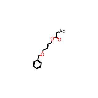 CC(=O)CC(=O)OCC=CCOCc1ccccc1